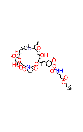 C=CCC1/C=C(\C)CC(C)CC(OC)C2OC(O)(C(=O)C(=O)N3CCCCC3C(=O)OC(C(C)=CC3CCC(OC(=O)NCCCC(=O)OCC[Si](C)(C)C)C(OC)C3)C(C)C(O)CC1=O)C(C)CC2OC